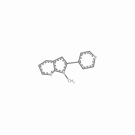 Cn1c(-c2ccncc2)cc2cccnc21